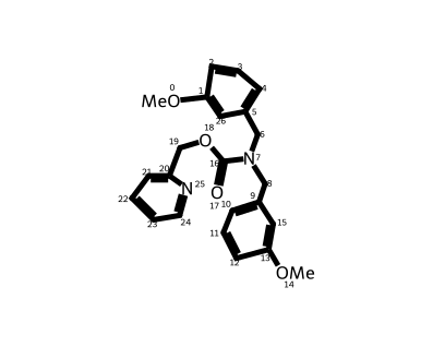 COc1cccc(CN(Cc2cccc(OC)c2)C(=O)OCc2ccccn2)c1